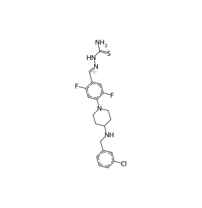 NC(=S)N/N=C/c1cc(F)c(N2CCC(NCc3cccc(Cl)c3)CC2)cc1F